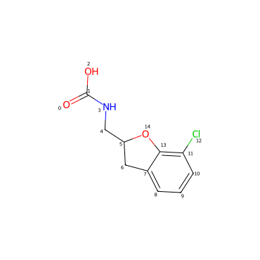 O=C(O)NCC1Cc2cccc(Cl)c2O1